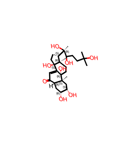 CC(C)(O)CCC(O)[C@](C)(O)[C@H]1CC[C@@]2(O)C3=CC(=O)[C@@H]4C[C@@H](O)[C@@H](O)C[C@]4(C)[C@]3(O)CC[C@]12C